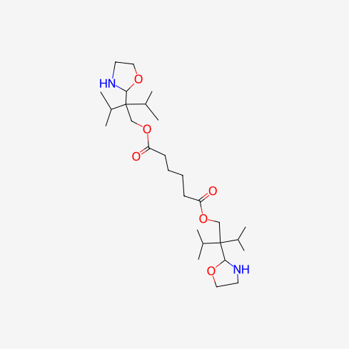 CC(C)C(COC(=O)CCCCC(=O)OCC(C(C)C)(C(C)C)C1NCCO1)(C(C)C)C1NCCO1